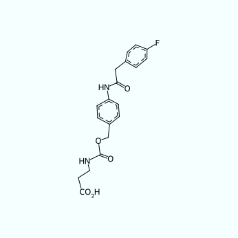 O=C(O)CCNC(=O)OCc1ccc(NC(=O)Cc2ccc(F)cc2)cc1